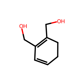 OCC1=C(CO)CCC=C1